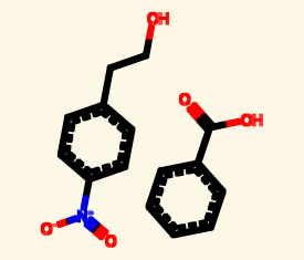 O=C(O)c1ccccc1.O=[N+]([O-])c1ccc(CCO)cc1